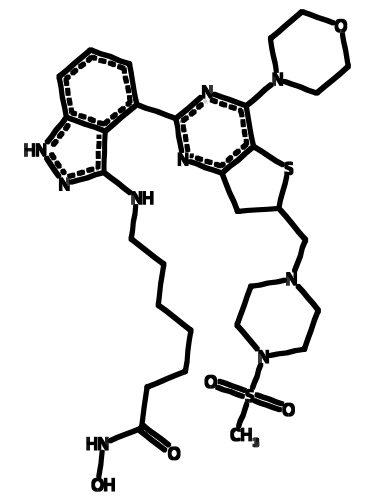 CS(=O)(=O)N1CCN(CC2Cc3nc(-c4cccc5[nH]nc(NCCCCCCC(=O)NO)c45)nc(N4CCOCC4)c3S2)CC1